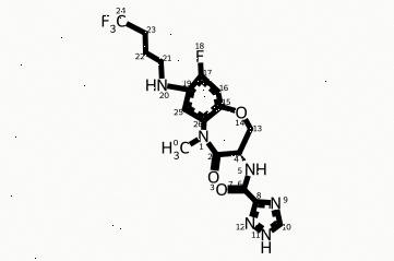 CN1C(=O)[C@@H](NC(=O)c2nc[nH]n2)COc2cc(F)c(NCCCC(F)(F)F)cc21